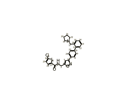 O=C(NCc1cc(-c2ccc(-c3ccccc3CN3CCCC3)cc2)no1)c1ccc(Cl)s1